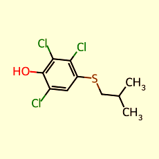 CC(C)CSc1cc(Cl)c(O)c(Cl)c1Cl